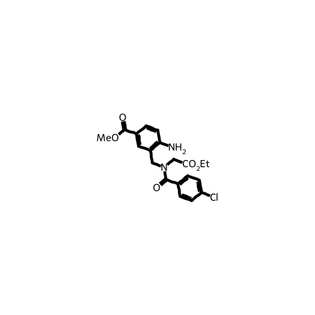 CCOC(=O)CN(Cc1cc(C(=O)OC)ccc1N)C(=O)c1ccc(Cl)cc1